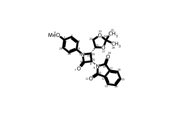 COc1ccc(N2C(=O)[C@@H](N3C(=O)c4ccccc4C3=O)[C@H]2C2COC(C)(C)O2)cc1